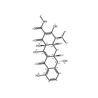 CNC(=O)C1=C(O)[C@@H](N(C)C)[C@@H]2C[C@H]3C(=C(O)[C@]2(O)C1=O)C(=O)c1c(O)cccc1[C@H]3O